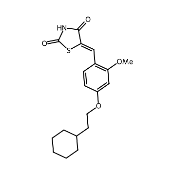 COc1cc(OCCC2CCCCC2)ccc1C=C1SC(=O)NC1=O